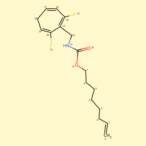 C=CCCCCCCOC(=O)NCC1=C(F)C=CCC=C1F